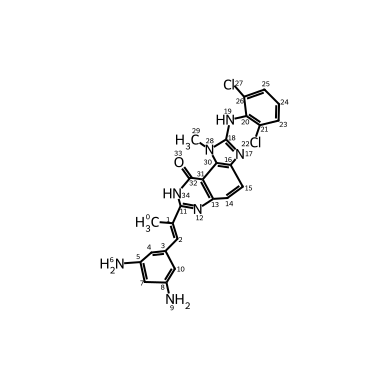 CC(=Cc1cc(N)cc(N)c1)c1nc2ccc3nc(Nc4c(Cl)cccc4Cl)n(C)c3c2c(=O)[nH]1